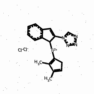 CC1=CC[C]([Ti+2][CH]2C(n3cnnn3)=Cc3ccccc32)=C1C.[Cl-].[Cl-]